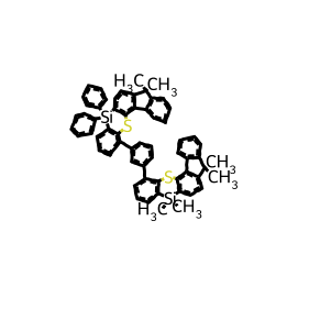 CC1(C)c2ccccc2-c2c1ccc1c2Sc2c(-c3cccc(-c4cccc5c4Sc4c(ccc6c4-c4ccccc4C6(C)C)[Si]5(c4ccccc4)c4ccccc4)c3)cccc2[Si]1(C)C